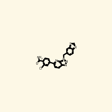 NC(=O)c1ccc(-c2ccc3nnn(Cc4ccc5ncsc5c4)c3n2)cc1Cl